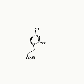 CCOC(=O)CCc1ccc(S)cc1CC